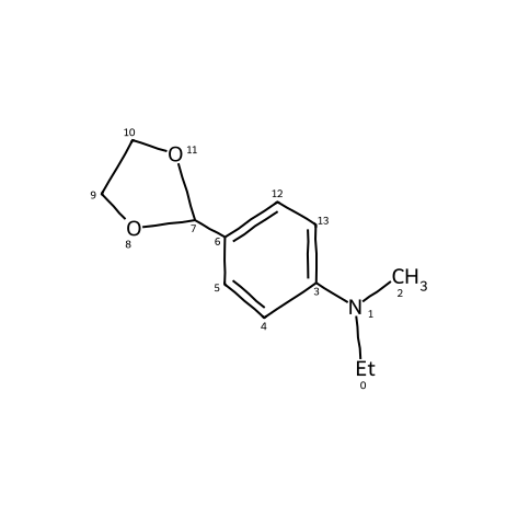 CCN(C)c1ccc(C2OCCO2)cc1